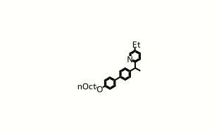 CCCCCCCCOc1ccc(-c2ccc(C(C)c3ccc(CC)cn3)cc2)cc1